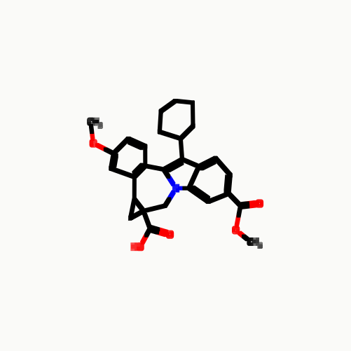 COC(=O)c1ccc2c(C3CCCCC3)c3n(c2c1)CC1(C(=O)O)CC1c1cc(OC)ccc1-3